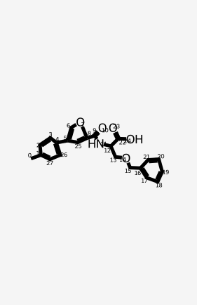 Cc1ccc(-c2coc(C(=O)NC(COCc3ccccc3)C(=O)O)c2)cc1